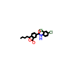 CCCCC1OC(=O)c2cc(C(=O)Nc3ccc(Cl)cc3Cl)ccc21